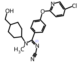 CN(/C(=N\C#N)c1ccc(Oc2ccc(Cl)cn2)cc1)C1CCC(CO)CC1